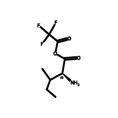 CCC(C)[C@H](N)C(=O)OC(=O)C(F)(F)F